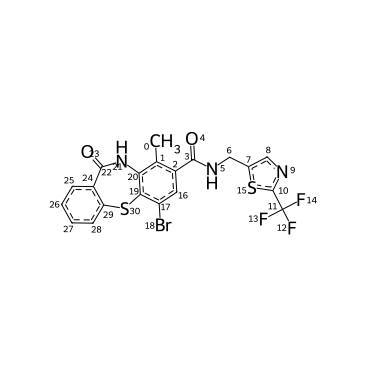 Cc1c(C(=O)NCc2cnc(C(F)(F)F)s2)cc(Br)c2c1NC(=O)c1ccccc1S2